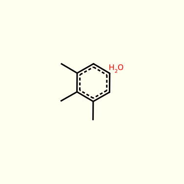 Cc1cccc(C)c1C.O